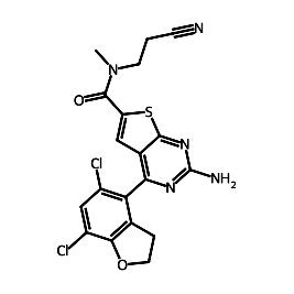 CN(CCC#N)C(=O)c1cc2c(-c3c(Cl)cc(Cl)c4c3CCO4)nc(N)nc2s1